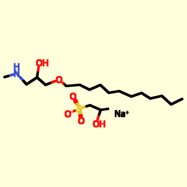 CC(O)CS(=O)(=O)[O-].CCCCCCCCCCCCOCC(O)CNC.[Na+]